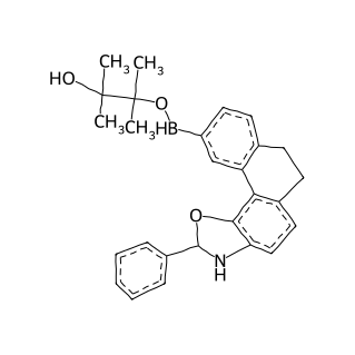 CC(C)(O)C(C)(C)OBc1ccc2c(c1)-c1c(ccc3c1OC(c1ccccc1)N3)CC2